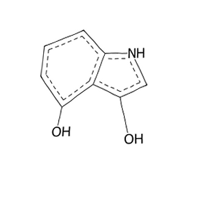 Oc1cccc2[nH]cc(O)c12